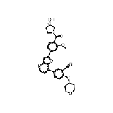 COc1cc(-c2cc3nccc(-c4ccc(OC5CCOCC5)c(C#N)c4)c3o2)ccc1C(=O)N1CC[C@@H](O)C1